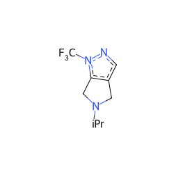 CC(C)N1Cc2cnn(C(F)(F)F)c2C1